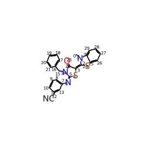 CN1C(=C2SC(=Nc3cccc(C#N)c3)N(Cc3ccccc3)C2=O)Sc2ccccc21